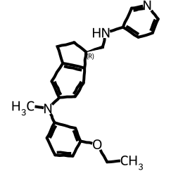 CCOc1cccc(N(C)c2ccc3c(c2)CC[C@H]3CNc2cccnc2)c1